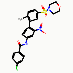 Cc1ccc(S(=O)(=O)N2CCOCC2)cc1-c1ccc(NC(=O)c2ccc(Cl)cc2)cc1[N+](=O)[O-]